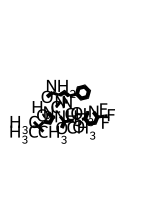 CC(C)(C)c1cc(NC(=O)C(C)(C)S(=O)(=O)c2ccc(C(F)(F)F)nc2)no1.Cn1nc(-c2ccccc2)cc1C(N)=O